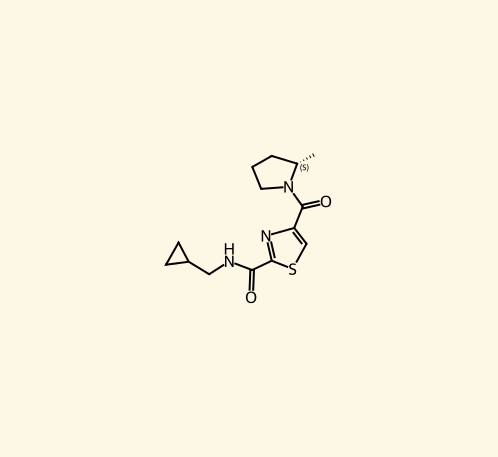 C[C@H]1CCCN1C(=O)c1csc(C(=O)NCC2CC2)n1